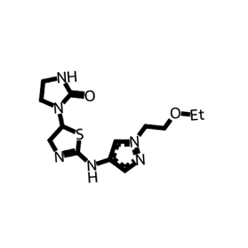 CCOCCn1cc(NC2=NCC(N3CCNC3=O)S2)cn1